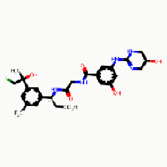 CC(O)(CF)c1cc([C@H](CC(=O)O)NC(=O)CNC(=O)c2cc(O)cc(NC3=NCC(O)CN3)c2)cc(C(F)(F)F)c1